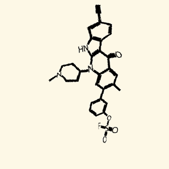 C#Cc1ccc2c(c1)[nH]c1c2c(=O)c2cc(C)c(-c3cccc(OS(=O)(=O)F)c3)cc2n1C1CCN(C)CC1